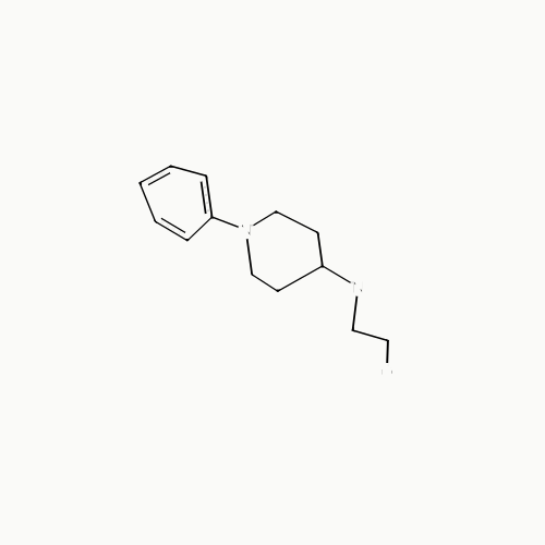 OCCNC1CCN(c2ccccc2)CC1